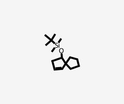 CC(C)(C)[Si](C)(C)OC1CC=CC12CCCC2